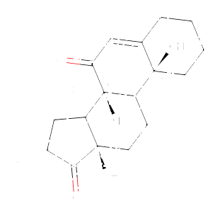 C[C@]12CCCCC1=CC(=O)[C@@H]1[C@@H]2CC[C@]2(C)C(=O)[C@H](F)C[C@@H]12